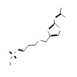 CC(N)=Nc1nc(CSCCC=NS(=O)(=O)NN)cs1